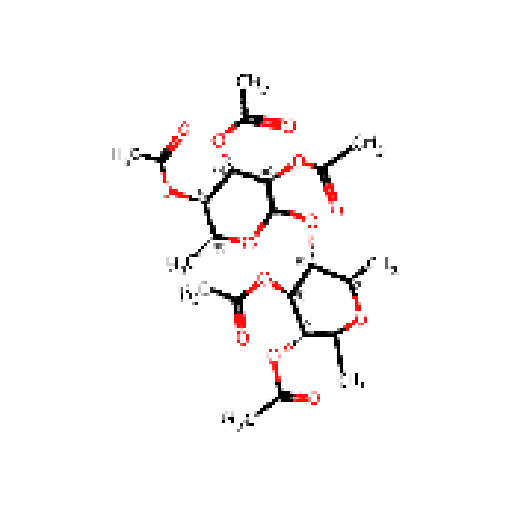 CC(=O)O[C@H]1[C@H](OC(C)=O)[C@@H](OC(C)=O)C(O[C@H]2[C@H](OC(C)=O)[C@@H](OC(C)=O)C(C)O[C@@H]2C)O[C@@H]1C